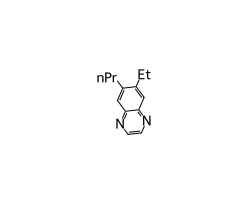 CCCc1cc2nccnc2cc1CC